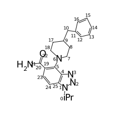 CC(C)n1nnc2c(N3CCC(Cc4ccccc4)CC3)c(C(N)=O)ccc21